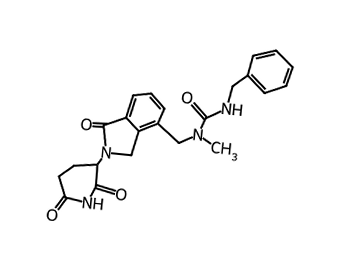 CN(Cc1cccc2c1CN(C1CCC(=O)NC1=O)C2=O)C(=O)NCc1ccccc1